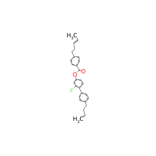 C=CCCc1ccc(-c2ccc(OC(=O)c3ccc(CC/C=C/C)cc3)cc2F)cc1